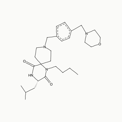 CCCCN1C(=O)[C@H](CC(C)C)NC(=O)C12CCN(Cc1ccc(CN3CCOCC3)cc1)CC2